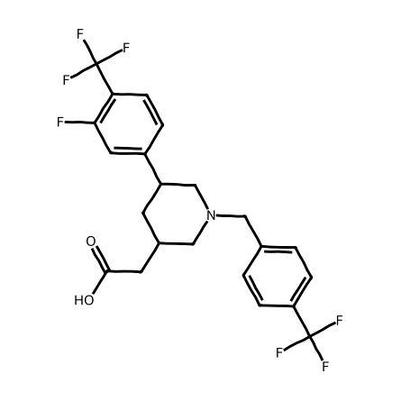 O=C(O)CC1CC(c2ccc(C(F)(F)F)c(F)c2)CN(Cc2ccc(C(F)(F)F)cc2)C1